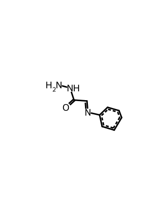 NNC(=O)C=Nc1ccccc1